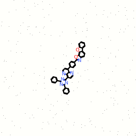 c1ccc(-c2nc(-c3ccccc3)nc(-c3ccnc4c(-c5ccc(-c6nc7ccc8c9ccccc9oc8c7o6)cc5)ccnc34)n2)cc1